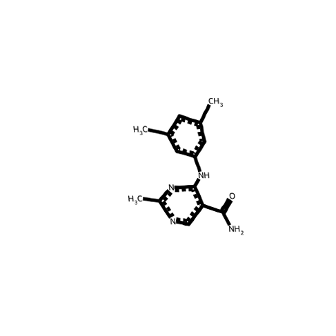 Cc1cc(C)cc(Nc2nc(C)ncc2C(N)=O)c1